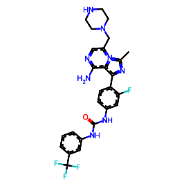 Cc1nc(-c2ccc(NC(=O)Nc3cccc(C(F)(F)F)c3)cc2F)c2c(N)ncc(CN3CCNCC3)n12